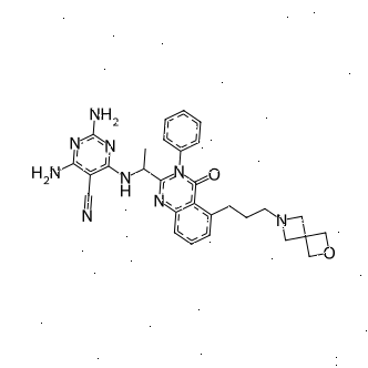 CC(Nc1nc(N)nc(N)c1C#N)c1nc2cccc(CCCN3CC4(COC4)C3)c2c(=O)n1-c1ccccc1